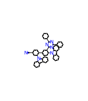 N#Cc1ccc(-c2ccc(-n3c4ccccc4c4ccccc43)c(-c3nc(-c4ccccc4)nc(-c4ccccc4)n3)c2)c(-n2c3ccccc3c3ccccc32)c1